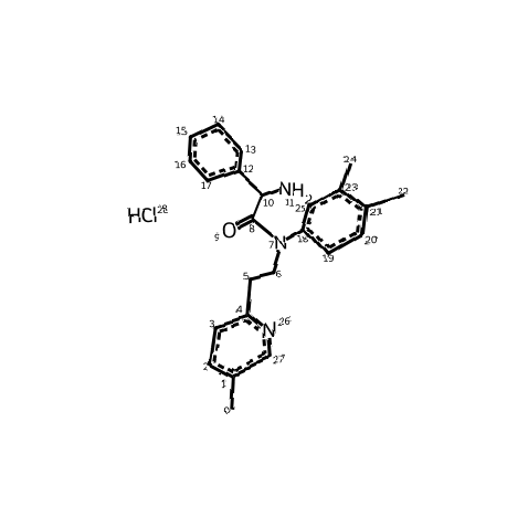 Cc1ccc(CCN(C(=O)C(N)c2ccccc2)c2ccc(C)c(C)c2)nc1.Cl